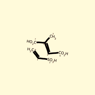 C=CS(=O)(=O)O.CC(=CC(=O)O)C(=O)O